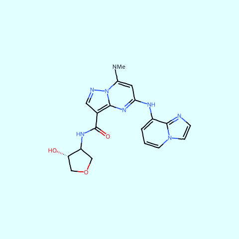 CNc1cc(Nc2cccn3ccnc23)nc2c(C(=O)NC3COC[C@@H]3O)cnn12